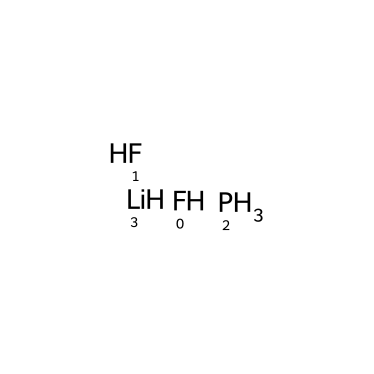 F.F.P.[LiH]